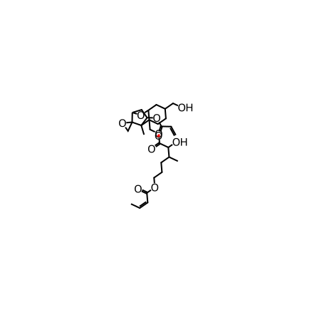 C=CC(=O)OC1CC2OC3CC(CO)CCC3(COC(=O)C(O)C(C)CCCOC(=O)/C=C\C)C1(C)C21CO1